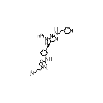 CCCNc1nc(NCCc2ccncc2)ncc1C#Cc1cccc(NC(=O)CN(C)C(=O)/C=C/CN(C)C)c1